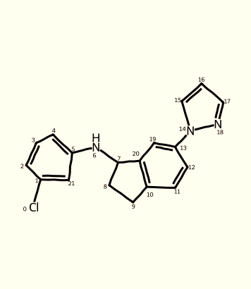 Clc1cccc(NC2CCc3ccc(-n4cccn4)cc32)c1